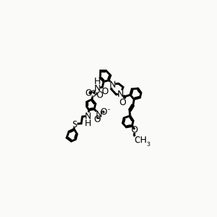 CCOc1cccc(C#Cc2ccccc2C(=O)N2CCN(c3ccccc3C(=O)NS(=O)(=O)c3ccc(NCCSc4ccccc4)c([N+](=O)[O-])c3)CC2)c1